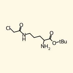 CC(C)(C)OC(=O)C(N)CCCNC(=O)CCl